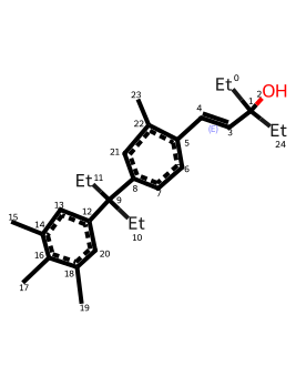 CCC(O)(/C=C/c1ccc(C(CC)(CC)c2cc(C)c(C)c(C)c2)cc1C)CC